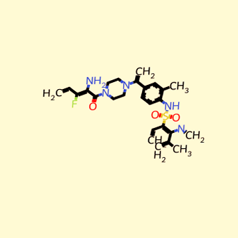 C=C/C(=C(/N=C)C(=C)C)S(=O)(=O)Nc1ccc(C(=C)N2CCN(C(=O)/C(N)=C(\F)C=C)CC2)cc1C